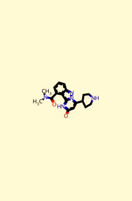 CN(C)C(=O)c1cccc2nn3c(C4CCNCC4)cc(=O)[nH]c3c12